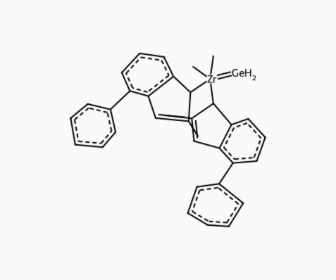 CC1=Cc2c(-c3ccccc3)cccc2[CH]1[Zr]([CH3])([CH3])(=[GeH2])[CH]1C(C)=Cc2c(-c3ccccc3)cccc21